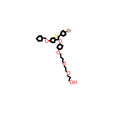 OCCCOCCCOCCCCOc1ccc(Oc2c(-c3ccc(Br)cc3)sc3cc(OCc4ccccc4)ccc23)cc1